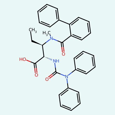 CC[C@H]([C@H](NC(=O)N(c1ccccc1)c1ccccc1)C(=O)O)N(C)C(=O)c1ccccc1-c1ccccc1